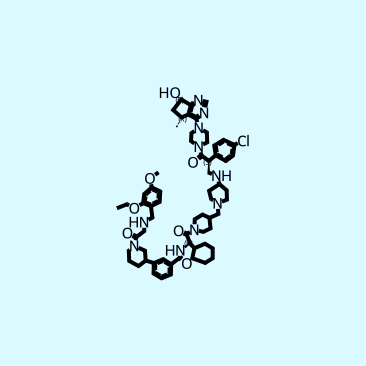 CCOc1cc(OC)ccc1CNCC(=O)N1CCCC(c2cccc(C(=O)N[C@@H](C(=O)N3CCC(CN4CCC(NC[C@@H](C(=O)N5CCN(c6ncnc7c6[C@H](C)C[C@H]7O)CC5)c5ccc(Cl)cc5)CC4)CC3)C3CCCCC3)c2)C1